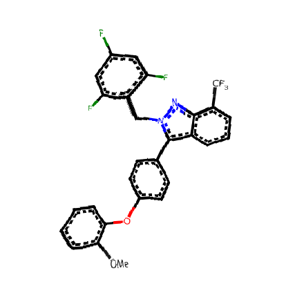 COc1ccccc1Oc1ccc(-c2c3cccc(C(F)(F)F)c3nn2Cc2c(F)cc(F)cc2F)cc1